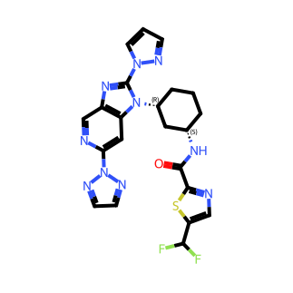 O=C(N[C@H]1CCC[C@@H](n2c(-n3cccn3)nc3cnc(-n4nccn4)cc32)C1)c1ncc(C(F)F)s1